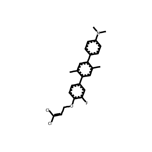 Cc1cc(-c2ccc(OCC=C(Cl)Cl)c(F)c2)c(C)cc1-c1ccc(N(C)C)cc1